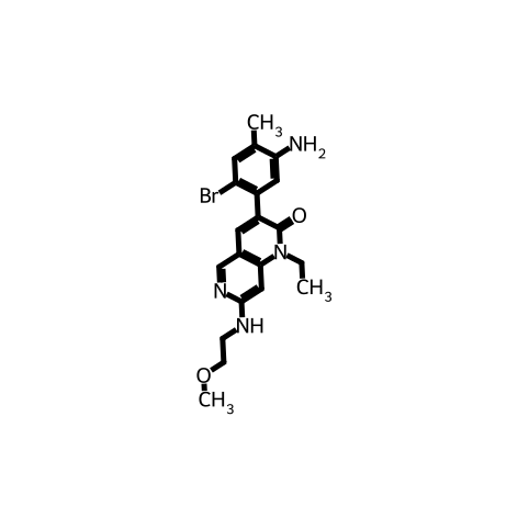 CCn1c(=O)c(-c2cc(N)c(C)cc2Br)cc2cnc(NCCOC)cc21